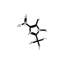 Cc1c([N+](=O)[O-])nc(C(F)(F)F)n1C